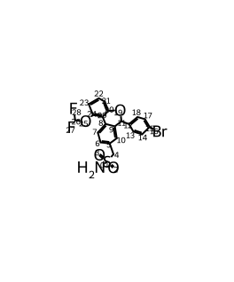 NS(=O)(=O)Cc1ccc2c(c1)C(c1ccc(Br)cc1)Oc1cccc(OC(F)F)c1-2